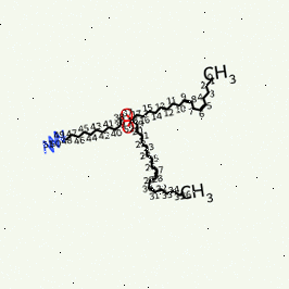 CCCCC/C=C\C/C=C\CCCCCCCCC1(CCCCCCCC/C=C\C/C=C\CCCCC)OCC(CCCCCCCCCN=[N+]=[N-])O1